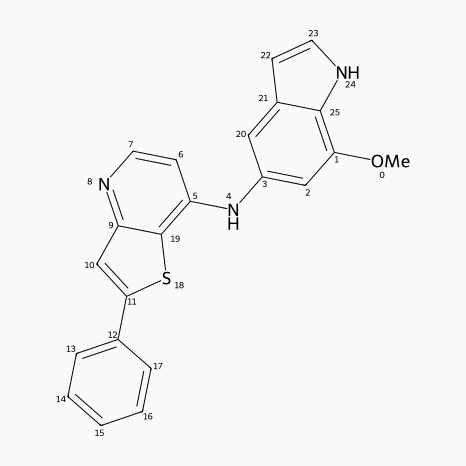 COc1cc(Nc2ccnc3cc(-c4ccccc4)sc23)cc2cc[nH]c12